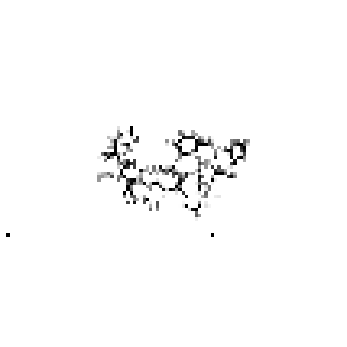 CCC(CC)[C@@H]([C@@H](CC(=O)N1CCC[C@H]1[C@H](OC)[C@@H](C)C(=O)N[C@@H](Cc1ccccc1)c1nccs1)OC)N(C)C(=O)[C@@H](NC(=O)C(C)(C)N)C(C)C